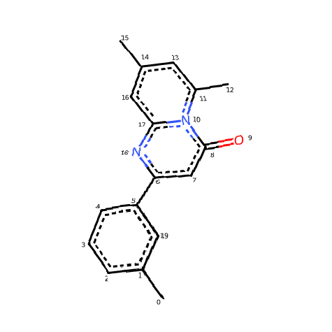 Cc1cccc(-c2cc(=O)n3c(C)cc(C)cc3n2)c1